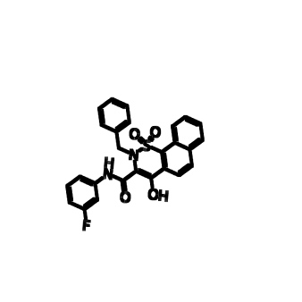 O=C(Nc1cccc(F)c1)C1=C(O)c2ccc3ccccc3c2S(=O)(=O)N1Cc1ccccc1